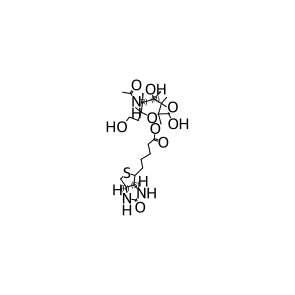 CC(=O)N[C@@]1(C)C(C)(CCO)OC(COC(=O)CCCCC2SC[C@@H]3NC(=O)N[C@H]23)(C(=O)O)C(C)(C)[C@@]1(C)O